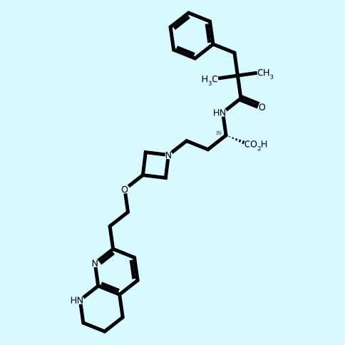 CC(C)(Cc1ccccc1)C(=O)N[C@@H](CCN1CC(OCCc2ccc3c(n2)NCCC3)C1)C(=O)O